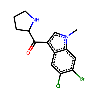 Cn1cc(C(=O)C2CCCN2)c2cc(Cl)c(Br)cc21